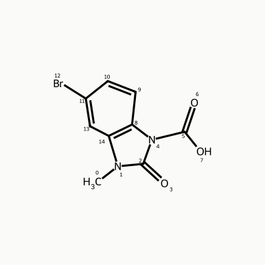 Cn1c(=O)n(C(=O)O)c2ccc(Br)cc21